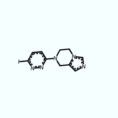 Ic1ccc(N2CCn3cncc3C2)nn1